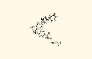 CC(C)C[C@@H](Nc1ccc(C(=O)NCCC(=O)O)cc1)c1ccc(-c2nnc(-c3ccccc3)o2)cc1